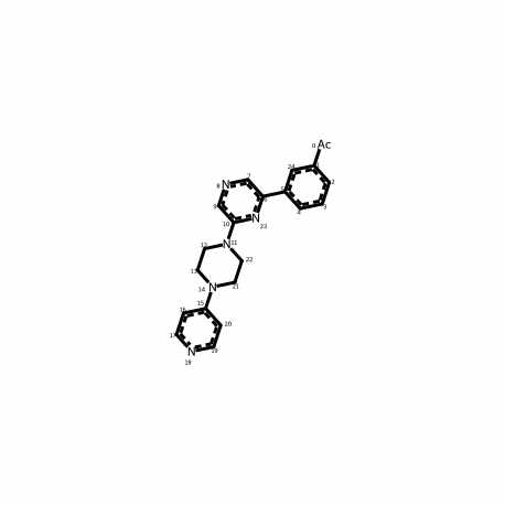 CC(=O)c1cccc(-c2cncc(N3CCN(c4ccncc4)CC3)n2)c1